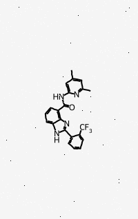 Cc1cc(C)nc(NC(=O)c2cccc3[nH]c(-c4ccccc4C(F)(F)F)nc23)c1